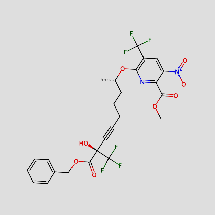 COC(=O)c1nc(O[C@@H](C)CCCC#C[C@@](O)(C(=O)OCc2ccccc2)C(F)(F)F)c(C(F)(F)F)cc1[N+](=O)[O-]